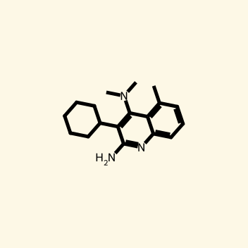 Cc1cccc2nc(N)c(C3CCCCC3)c(N(C)C)c12